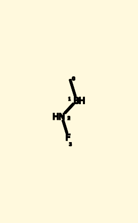 CBNF